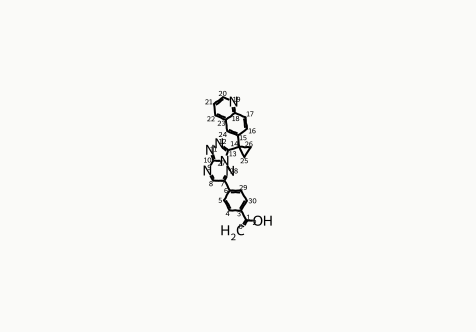 C=C(O)c1ccc(-c2cnc3nnc(C4(c5ccc6ncccc6c5)CC4)n3n2)cc1